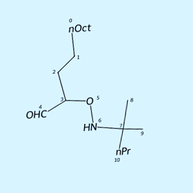 CCCCCCCCCCC(C=O)ONC(C)(C)CCC